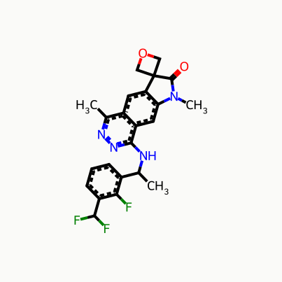 Cc1nnc(NC(C)c2cccc(C(F)F)c2F)c2cc3c(cc12)C1(COC1)C(=O)N3C